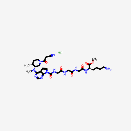 COC(=O)[C@@H](CCCCN)NC(=O)CNC(=O)CNC(=O)CNC(=O)n1ccc2c(N(C)[C@H]3CN(C(=O)CC#N)CC[C@H]3C)ncnc21.Cl